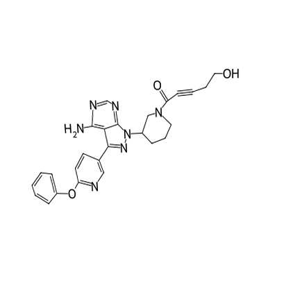 Nc1ncnc2c1c(-c1ccc(Oc3ccccc3)nc1)nn2C1CCCN(C(=O)C#CCCO)C1